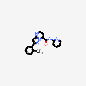 O=C(Nc1ccccn1)c1ccnc2cc(-c3ccccc3C(F)(F)F)nn12